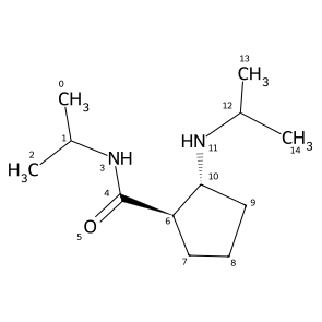 CC(C)NC(=O)[C@@H]1CCC[C@H]1NC(C)C